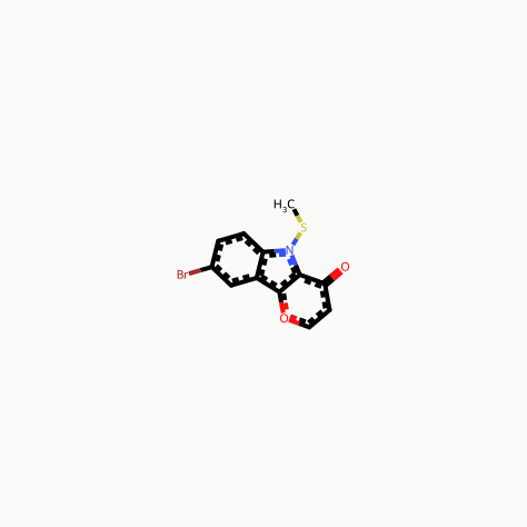 CSn1c2ccc(Br)cc2c2occc(=O)c21